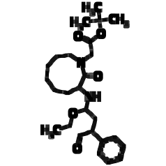 CCOC(CC(C=O)c1ccccc1)NC1CCCCCCN(CC(=O)OC(C)(C)C)C1=O